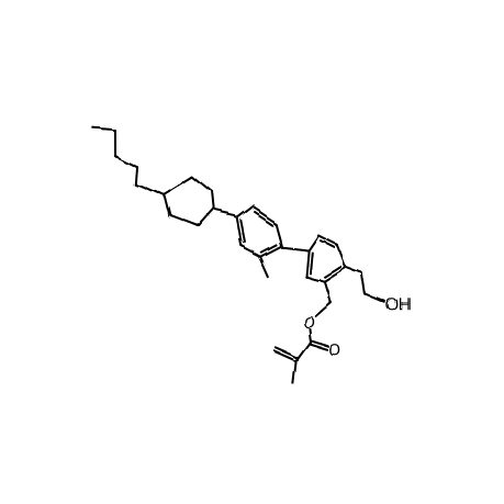 C=C(C)C(=O)OCc1cc(-c2ccc(C3CCC(CCCCC)CC3)cc2C)ccc1CCO